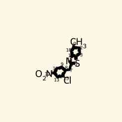 Cc1ccc2sc(Cc3ccc([N+](=O)[O-])cc3Cl)nc2c1